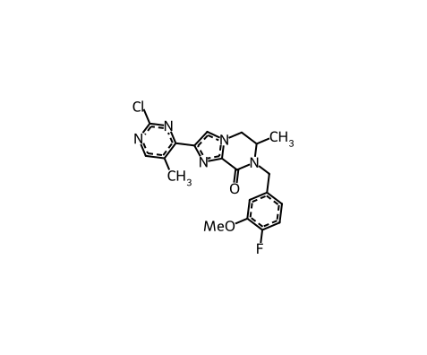 COc1cc(CN2C(=O)c3nc(-c4nc(Cl)ncc4C)cn3CC2C)ccc1F